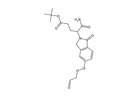 CC(C)(C)OC(=O)CCC(C(N)=O)N1Cc2cc(OOCC=O)ccc2C1=O